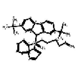 C=CCCC[CH2][Hf](=[CH2])([C]1=CC=CC1)([c]1ccccc1)[CH]1c2cc(C(C)(C)C)ccc2-c2ccc(C(C)(C)C)cc21